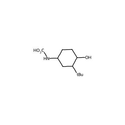 CC(C)(C)C1CC(NC(=O)O)CCC1O